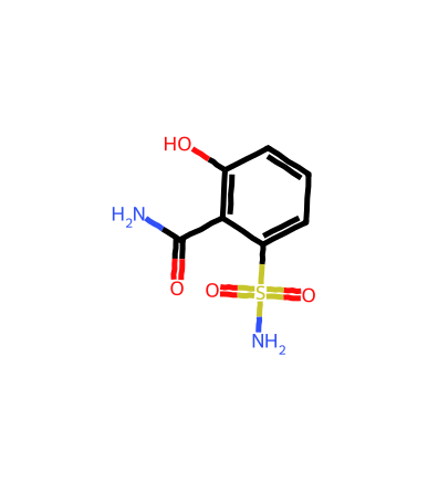 NC(=O)c1c(O)cccc1S(N)(=O)=O